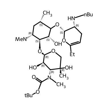 CCCCN[C@@H]1CC=C(CC)O[C@@H]1OC1[C@@H](C)C[C@@H](NC)[C@H](O[C@H]2OC[C@](C)(O)[C@H](N(C)C(=O)OC(C)(C)C)[C@H]2O)[C@H]1O